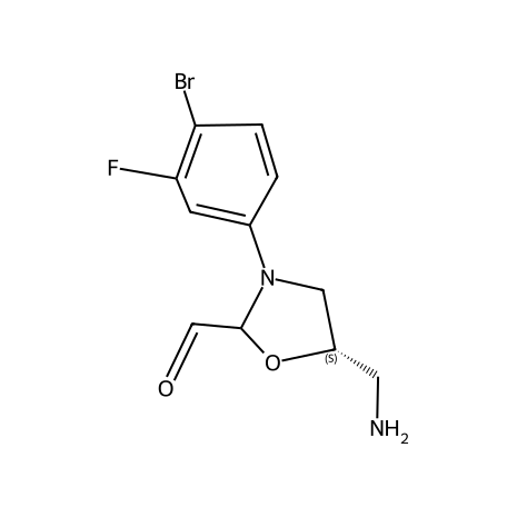 NC[C@H]1CN(c2ccc(Br)c(F)c2)C(C=O)O1